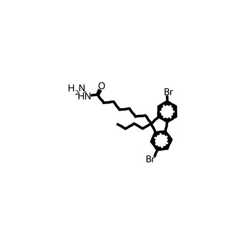 CCCCC1(CCCCCCC(=O)NN)c2cc(Br)ccc2-c2ccc(Br)cc21